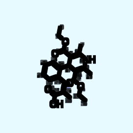 CCOC(=O)C1=C(C)NC(C)=C(C(=O)OCC)C1c1ccccc1/C=C(/C)C(=O)O